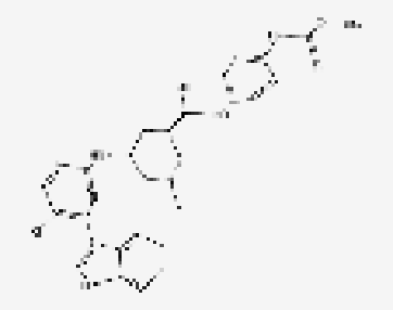 CN1C[C@H](Nc2ncc(Cl)c(-c3c[nH]c4ccccc34)n2)C[C@@H](C(O)Nc2ccc(NC(=O)OC(C)(C)C)cc2)C1